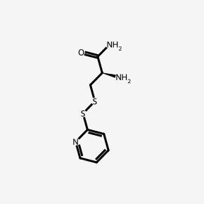 NC(=O)[C@@H](N)CSSc1ccccn1